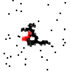 C=CC(=C)C[C@H](O)C=C(C)C.CCCC(C)O